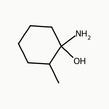 CC1CCCCC1(N)O